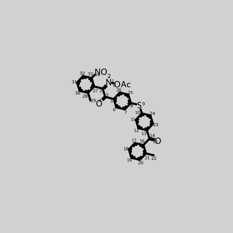 CC(=O)O/N=C(\C(=O)c1ccc(Sc2ccc(C(=O)c3ccccc3C)cc2)cc1)c1c(C)cccc1[N+](=O)[O-]